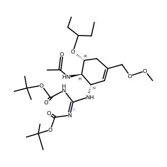 CCC(CC)O[C@@H]1CC(COOC)=C[C@H](N/C(=N/C(=O)OC(C)(C)C)NC(=O)OC(C)(C)C)[C@H]1NC(C)=O